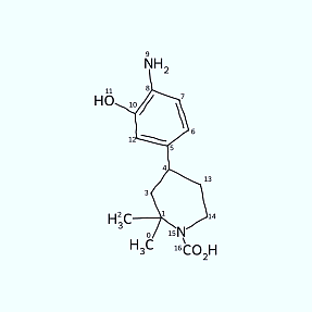 CC1(C)CC(c2ccc(N)c(O)c2)CCN1C(=O)O